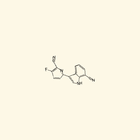 N#Cc1nc(-c2c[nH]c3c(C#N)cccc23)ccc1F